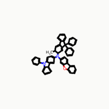 CC1C=C2C(=CC1N(c1ccc3c(c1)oc1ccccc13)c1ccc3c(c1)c1ccccc1n3-c1ccccc1)C(c1ccccc1)(c1ccccc1)c1ccccc12